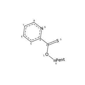 CCCCCOC(=S)c1ccccn1